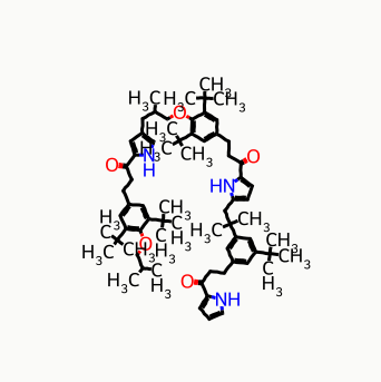 CC(C)COc1c(C(C)(C)C)cc(CCC(=O)c2cc(CC(C)COc3c(C(C)(C)C)cc(CCC(=O)c4ccc(CC(C)(C)c5cc(CCC(=O)c6ccc[nH]6)cc(C(C)(C)C)c5)[nH]4)cc3C(C)(C)C)c[nH]2)cc1C(C)(C)C